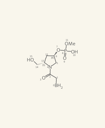 BCC(=O)N1C[C@H](OP(=O)(O)OC)C[C@H]1CO